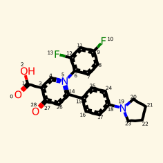 O=C(O)c1cn(-c2ccc(F)cc2F)c(-c2ccc(N3CCCC3)cc2)cc1=O